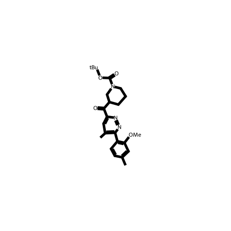 COc1cc(C)ccc1-c1nnc(C(=O)C2CCCN(C(=O)OC(C)(C)C)C2)cc1C